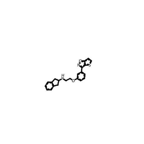 c1cc(OCCNC2Cc3ccccc3C2)cc(-c2noc3ccsc23)c1